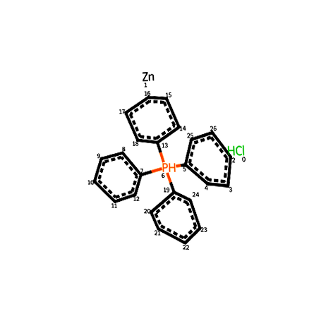 Cl.[Zn].c1ccc([PH](c2ccccc2)(c2ccccc2)c2ccccc2)cc1